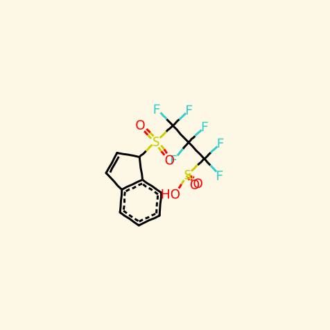 O=S(=O)(O)C(F)(F)C(F)(F)C(F)(F)S(=O)(=O)C1C=Cc2ccccc21